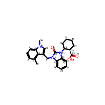 Cc1cccc2c1c(Cn1c(=O)n(C3CCCC[C@H]3C(=O)O)c3ccccc31)cn2C